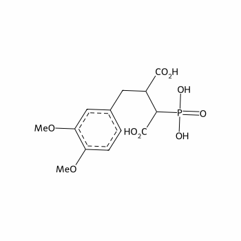 COc1ccc(CC(C(=O)O)C(C(=O)O)P(=O)(O)O)cc1OC